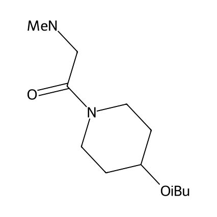 CNCC(=O)N1CCC(OCC(C)C)CC1